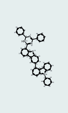 c1ccc(C2=NC(c3ccccc3)NC(c3cccc4c3sc3ccc(-c5cccc6c5c5ccccc5n6-c5ccccc5)cc34)=N2)cc1